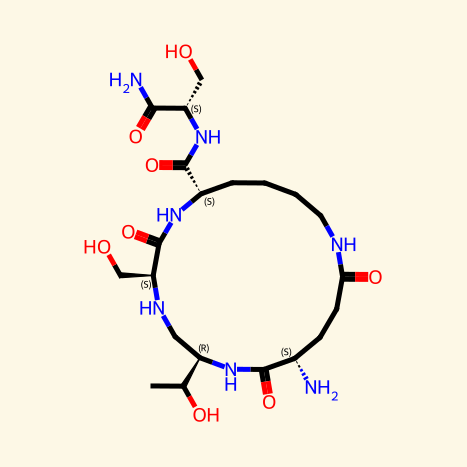 CC(O)[C@H]1CN[C@@H](CO)C(=O)N[C@H](C(=O)N[C@@H](CO)C(N)=O)CCCCNC(=O)CC[C@H](N)C(=O)N1